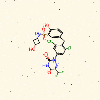 O=c1[nH]c(=O)n(-c2cc(Cl)c(Cc3ccc(O)c(S(=O)(=O)NC4CC(O)C4)c3)c(Cl)c2)nc1C(F)F